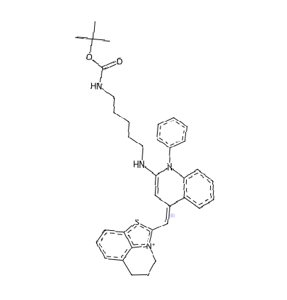 CC(C)(C)OC(=O)NCCCCCNC1=C/C(=C\c2sc3cccc4c3[n+]2CCC4)c2ccccc2N1c1ccccc1